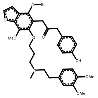 CCOc1c(CC(=O)Cc2ccc(O)cc2)c(OCCCN(C)CCc2ccc(OC)c(OC)c2)c(OC)c2occc12